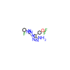 Nc1ncnc2c1c(-c1ccc(OC(F)F)cc1)cn2Cc1cn(-c2ccccc2F)nn1